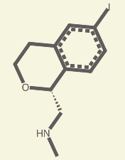 CNC[C@@H]1OCCc2cc(I)ccc21